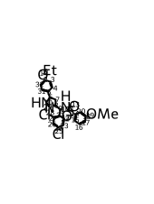 CCOc1ccc(C2CC(C(NS(=O)(=O)c3cccc(OC)c3)c3ccc(Cl)cc3Cl)=NN2)cc1